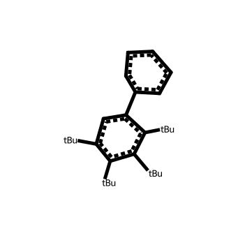 CC(C)(C)c1cc(-c2ccccc2)c(C(C)(C)C)c(C(C)(C)C)c1C(C)(C)C